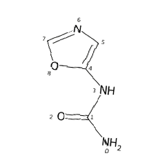 NC(=O)Nc1cnco1